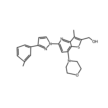 Cc1cccc(-c2ccn(-c3cc(N4CCOCC4)c4sc(CO)c(C)c4n3)n2)c1